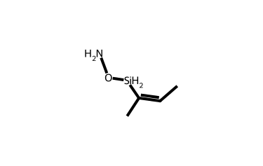 CC=C(C)[SiH2]ON